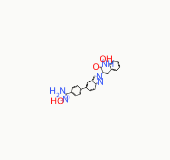 N/C(=N\O)c1ccc(-c2ccc3nn(C(Cc4ccccc4)C(=O)NO)cc3c2)cc1